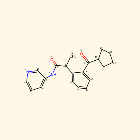 CC(C(=O)Nc1cccnc1)c1ccccc1C(=O)C1CCCC1